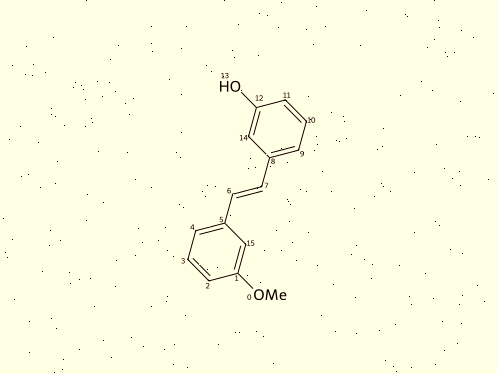 COc1cccc(C=Cc2cccc(O)c2)c1